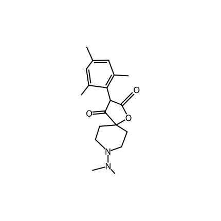 Cc1cc(C)c(C2C(=O)OC3(CCN(N(C)C)CC3)C2=O)c(C)c1